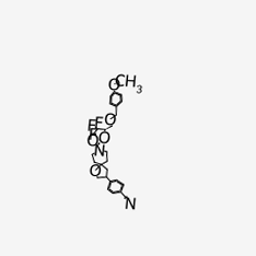 COc1ccc(COC[C@@H](OC(=O)N2CCC3(CC2)CC(c2ccc(C#N)cc2)CO3)C(F)(F)F)cc1